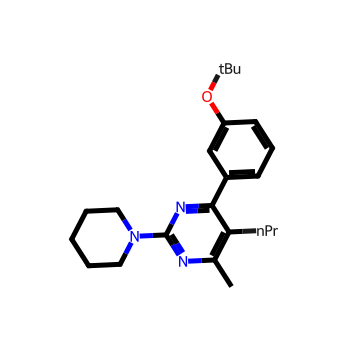 CCCc1c(C)nc(N2CCCCC2)nc1-c1cccc(OC(C)(C)C)c1